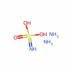 N.N.N=S(=O)(O)O